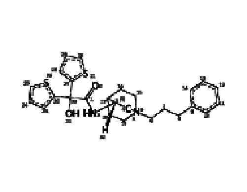 O=C(N[C@H]1C[N+]2(CCCc3ccccc3)CCC1CC2)C(O)(c1cccs1)c1cccs1